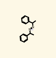 CC(/N=N/C(C)c1ccccc1)c1ccccc1